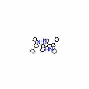 c1ccc(-c2cc(-c3cc4c(cc(-c5cc(-c6ccccc6)cc6c5[nH]c5ccccc56)c5cccnc54)c4ccccc34)c3[nH]c4ccccc4c3c2)cc1